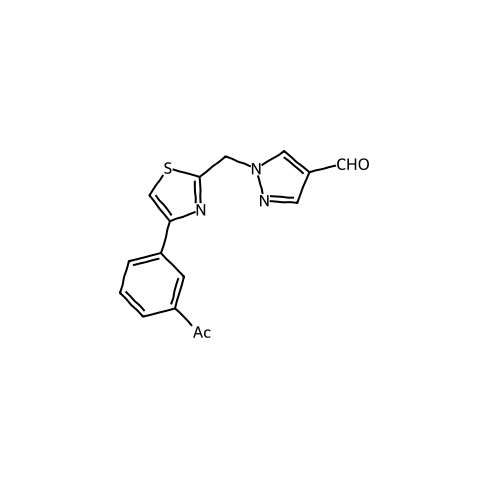 CC(=O)c1cccc(-c2csc(Cn3cc(C=O)cn3)n2)c1